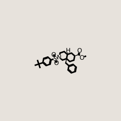 COC(=O)[C@H]1CC[C@]2(Cc3ccccc3)CN(S(=O)(=O)c3ccc(C(C)(C)C)cc3)CC[C@H]2C1